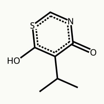 CC(C)c1c(O)scnc1=O